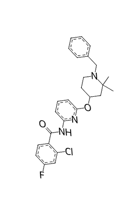 CC1(C)CC(Oc2cccc(NC(=O)c3ccc(F)cc3Cl)n2)CCN1Cc1ccccc1